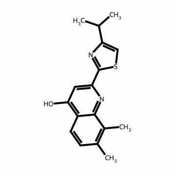 Cc1ccc2c(O)cc(-c3nc(C(C)C)cs3)nc2c1C